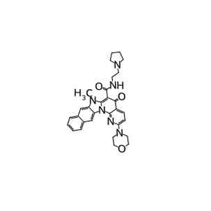 Cn1c2cc3ccccc3cc2n2c3nc(N4CCOCC4)ccc3c(=O)c(C(=O)NCCN3CCCC3)c12